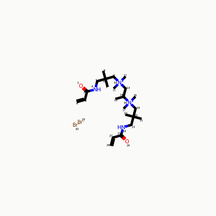 C=CC(=O)NCC(C)(C)C[N+](C)(C)CC(C)[N+](C)(C)CC(C)(C)CNC(=O)C=C.[Br-].[Br-]